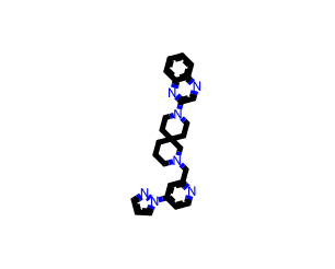 c1ccc2nc(N3CCC4(CCCN(Cc5cc(-n6cccn6)ccn5)C4)CC3)cnc2c1